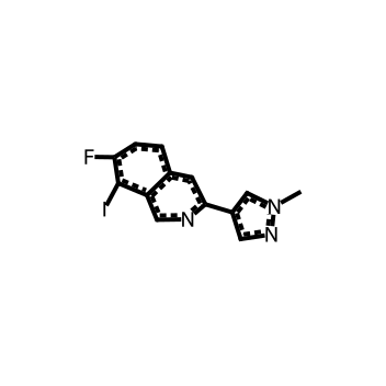 Cn1cc(-c2cc3ccc(F)c(I)c3cn2)cn1